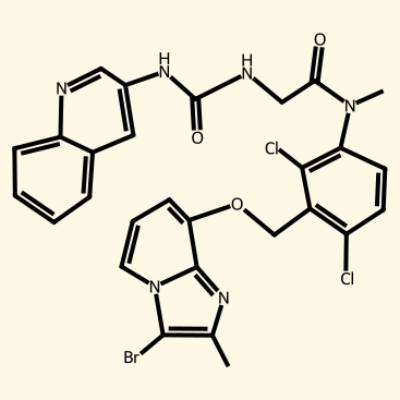 Cc1nc2c(OCc3c(Cl)ccc(N(C)C(=O)CNC(=O)Nc4cnc5ccccc5c4)c3Cl)cccn2c1Br